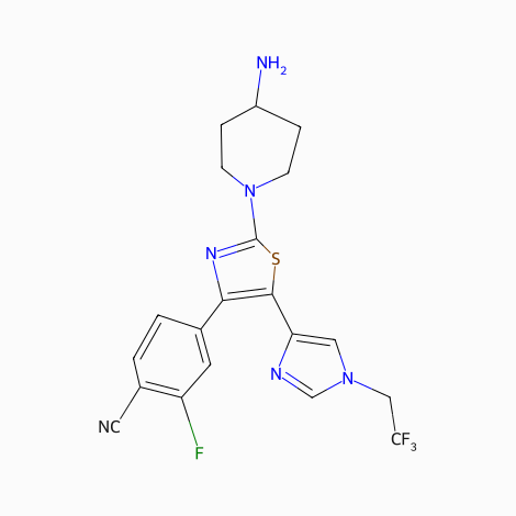 N#Cc1ccc(-c2nc(N3CCC(N)CC3)sc2-c2cn(CC(F)(F)F)cn2)cc1F